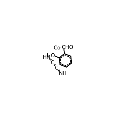 N=C=C=N.O=Cc1ccccc1O.[Co]